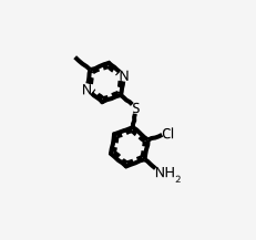 Cc1cnc(Sc2cccc(N)c2Cl)cn1